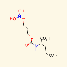 CSCCC(NC(=O)OCCCON(O)O)C(=O)O